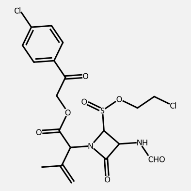 C=C(C)C(C(=O)OCC(=O)c1ccc(Cl)cc1)N1C(=O)C(NC=O)C1S(=O)OCCCl